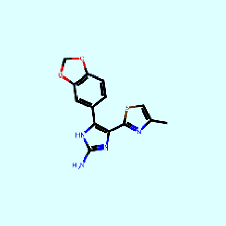 Cc1csc(-c2nc(N)[nH]c2-c2ccc3c(c2)OCO3)n1